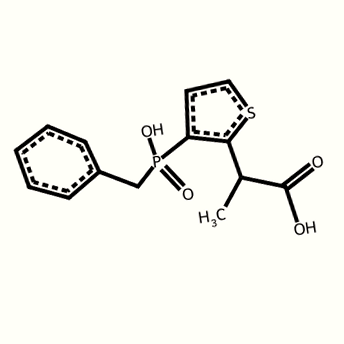 CC(C(=O)O)c1sccc1P(=O)(O)Cc1ccccc1